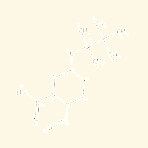 CC(C)(C)[Si](C)(C)O[C@@H]1CC[C@H](C=O)N(C(=O)O)C1